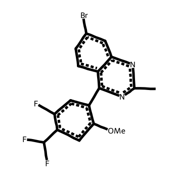 COc1cc(C(F)F)c(F)cc1-c1nc(C)nc2cc(Br)ccc12